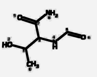 CC(O)C(NC=O)C(N)=O